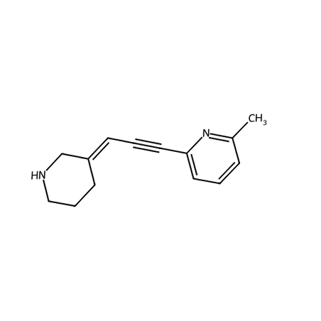 Cc1cccc(C#C/C=C2\CCCNC2)n1